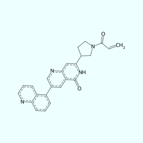 C=CC(=O)N1CCC(c2cc3ncc(-c4cccc5ncccc45)cc3c(=O)[nH]2)C1